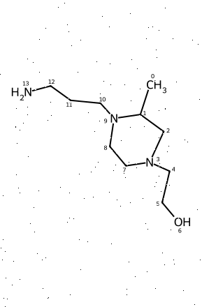 CC1CN(CCO)CCN1CCCN